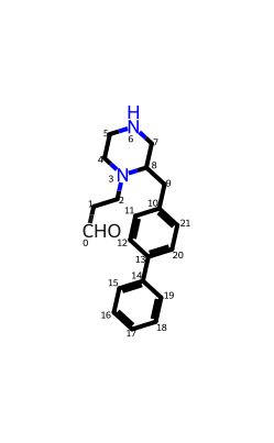 O=CCCN1CCNCC1Cc1ccc(-c2ccccc2)cc1